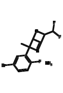 CC1(c2cc(Br)ccc2F)N=C2C(C(F)F)OC21.N